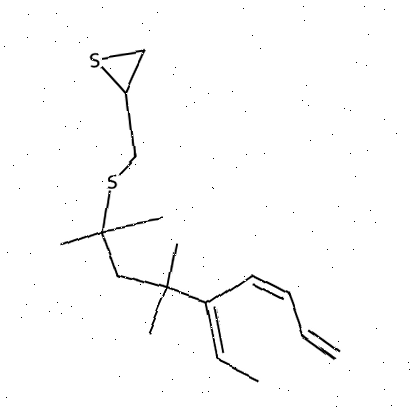 C=C/C=C\C(=C/C)C(C)(C)CC(C)(C)SCC1CS1